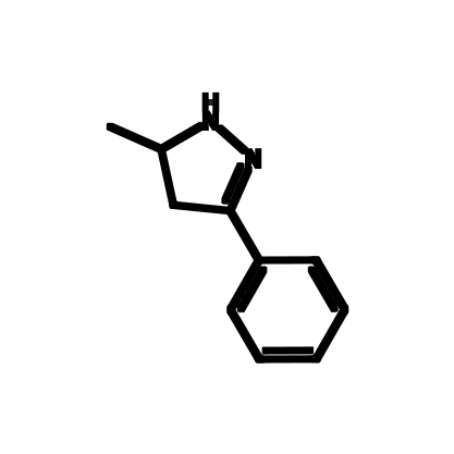 CC1CC(c2ccccc2)=NN1